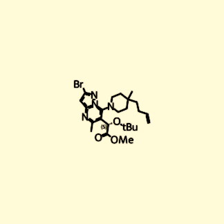 C=CCCC1(C)CCN(c2c([C@H](OC(C)(C)C)C(=O)OC)c(C)nc3cc(Br)nn23)CC1